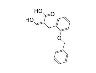 O=C(O)C(=CO)Cc1ccccc1OCc1ccccc1